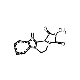 CN1C(=O)C2c3[nH]c4ccccc4c3CCN2C1=O